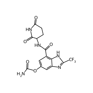 NC(=O)Oc1cc(C(=O)NC2CCC(=O)NC2=O)c2[nH]c(C(F)(F)F)nc2c1